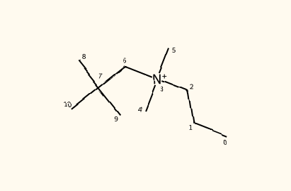 CCC[N+](C)(C)CC(C)(C)C